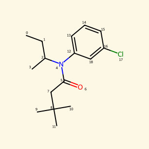 CCC(C)N(C(=O)CC(C)(C)C)c1cccc(Cl)c1